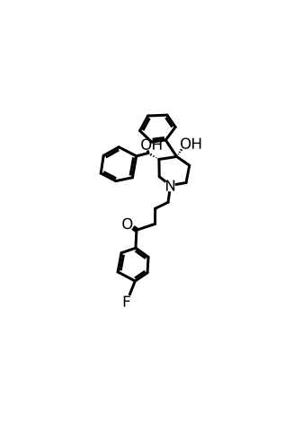 O=C(CCCN1CC[C@](O)(c2ccccc2)[C@@H](C(O)c2ccccc2)C1)c1ccc(F)cc1